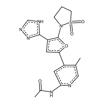 CC(=O)Nc1cc(-c2cc(-c3nnc[nH]3)c(N3CCCS3(=O)=O)o2)c(C)cn1